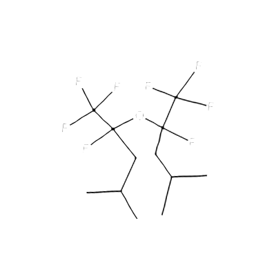 CC(C)CC(F)(OC(F)(CC(C)C)C(F)(F)F)C(F)(F)F